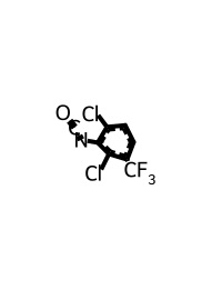 O=C=Nc1c(Cl)ccc(C(F)(F)F)c1Cl